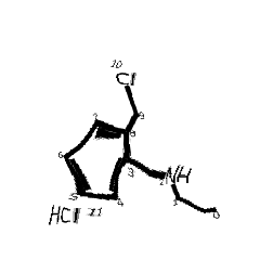 CCNc1ccccc1CCl.Cl